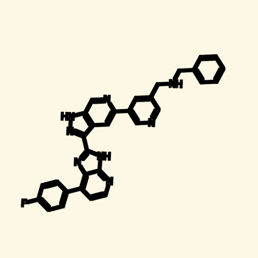 Fc1ccc(-c2ccnc3[nH]c(-c4n[nH]c5cnc(-c6cncc(CNCc7ccccc7)c6)cc45)nc23)cc1